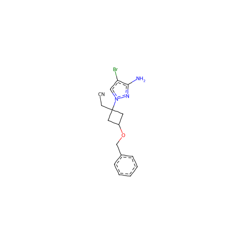 N#CCC1(n2cc(Br)c(N)n2)CC(OCc2ccccc2)C1